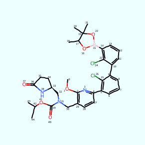 COc1nc(-c2cccc(-c3cccc(B4OC(C)C(C)(C)O4)c3Cl)c2Cl)ccc1CN(C[C@@H]1CCC(=O)N1)C(=O)OC(C)C